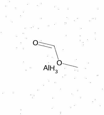 COC=O.[AlH3]